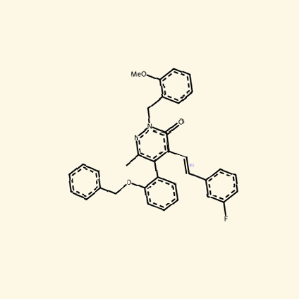 COc1ccccc1Cn1nc(C)c(-c2ccccc2OCc2ccccc2)c(/C=C/c2cccc(F)c2)c1=O